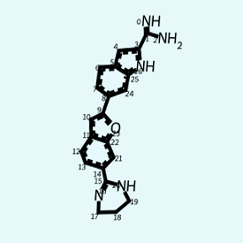 N=C(N)c1cc2ccc(-c3cc4ccc(C5=NCCCN5)cc4o3)cc2[nH]1